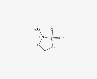 CCC[CH]N1CCCS1(=O)=O